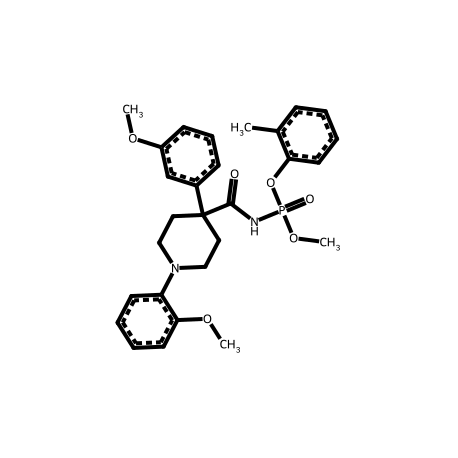 COc1cccc(C2(C(=O)NP(=O)(OC)Oc3ccccc3C)CCN(c3ccccc3OC)CC2)c1